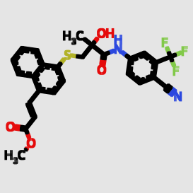 COC(=O)/C=C/c1ccc(SCC(C)(O)C(=O)Nc2ccc(C#N)c(C(F)(F)F)c2)c2ccccc12